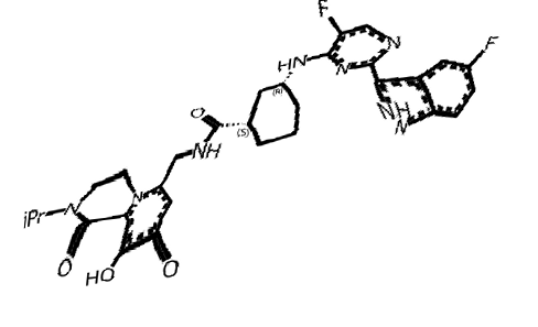 CC(C)N1CCn2c(CNC(=O)[C@H]3CCC[C@@H](Nc4nc(-c5n[nH]c6ccc(F)cc56)ncc4F)C3)cc(=O)c(O)c2C1=O